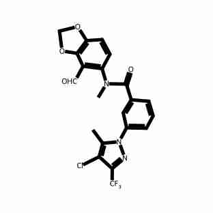 Cc1c(Cl)c(C(F)(F)F)nn1-c1cccc(C(=O)N(C)c2ccc3c(c2C=O)OCO3)c1